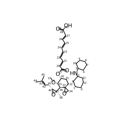 C1CCC(NC2CCCCC2)CC1.CO[C@@H]1[C@H](OC(=O)/C=C/C=C/C=C/C=C/C(=O)O)CC[C@]2(CO2)[C@H]1[C@@]1(C)O[C@@H]1CC=C(C)C